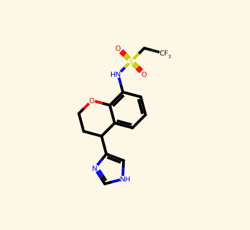 O=S(=O)(CC(F)(F)F)Nc1cccc2c1OCCC2c1c[nH]cn1